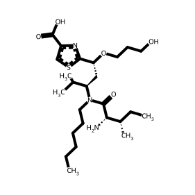 CCCCCCN(C(=O)[C@@H](N)[C@@H](C)CC)[C@H](C[C@@H](OCCCO)c1nc(C(=O)O)cs1)C(C)C